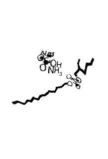 CCCCCCCCCCCCCCOS(=O)(=O)OCC(CC)CCCC.N.O=S(=O)([O-])O.[Na+]